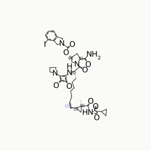 C[C@]1(C(=O)NS(=O)(=O)C2CC2)C[C@H]1/C=C\CCCCC[C@H](Nc1c(N2CCC2)c(=O)c1=O)C(=O)N1C[C@H](OC(=O)N2Cc3cccc(I)c3C2)C[C@H]1C(N)=O